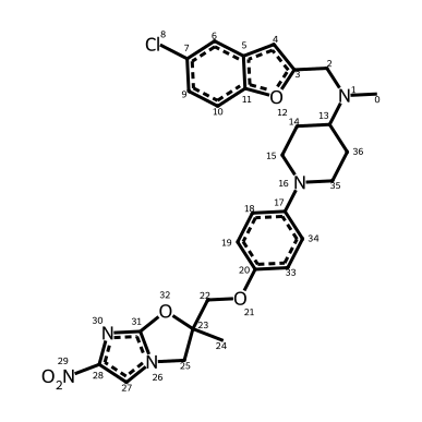 CN(Cc1cc2cc(Cl)ccc2o1)C1CCN(c2ccc(OCC3(C)Cn4cc([N+](=O)[O-])nc4O3)cc2)CC1